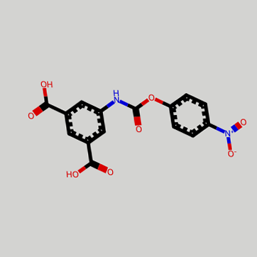 O=C(Nc1cc(C(=O)O)cc(C(=O)O)c1)Oc1ccc([N+](=O)[O-])cc1